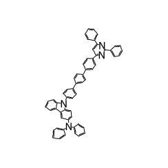 c1ccc(-c2cc(-c3ccc(-c4ccc(-c5ccc(-n6c7ccccc7c7cc(N(c8ccccc8)c8ccccc8)ccc76)cc5)cc4)cc3)nc(-c3ccccc3)n2)cc1